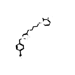 N#Cc1ccc(Cn2cc(CCCCCn3cccc(O)c3=S)nn2)cc1